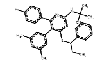 CCC(Sc1nc(NC(C)(C)C)nc(-c2ccc(F)cc2)c1-c1cc(C)nc(C)c1)c1ccccc1